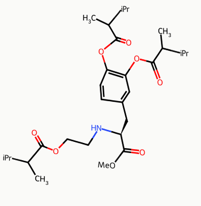 COC(=O)[C@H](Cc1ccc(OC(=O)C(C)C(C)C)c(OC(=O)C(C)C(C)C)c1)NCCOC(=O)C(C)C(C)C